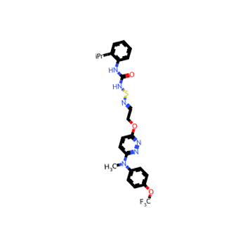 CC(C)c1ccccc1NC(=O)NS/N=C/COc1ccc(N(C)c2ccc(OC(F)(F)F)cc2)nn1